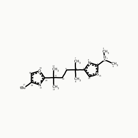 C[SH](C)c1nc(C(C)(C)CCC(C)(C)c2nc(C(C)(C)C)co2)cs1